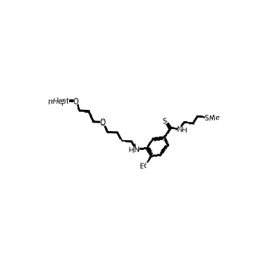 CCCCCCCOCCCOCCCCNc1cc(C(=S)NCCCSC)ccc1CC